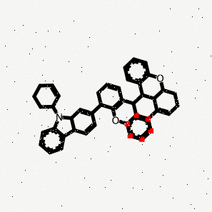 C1=CCC2OC3=C(C=CCC3C3=CC4C(C=C3)c3ccccc3N4C3C=CCCC3)C(C3c4ccccc4OC4CCC=C(c5ccccc5)C43)C2=C1